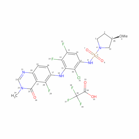 CO[C@@H]1CCN(S(=O)(=O)Nc2cc(F)c(F)c(Nc3ccc4ncn(C)c(=O)c4c3F)c2Cl)C1.O=C(O)C(F)(F)F